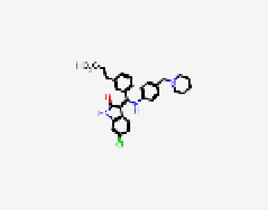 O=C(O)CCc1cccc(C(Nc2ccc(CN3CCCCC3)cc2)=C2C(=O)Nc3cc(Cl)ccc32)c1